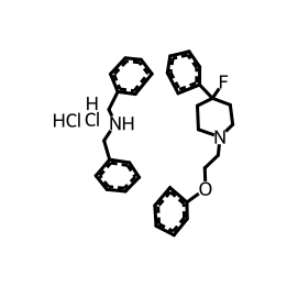 Cl.Cl.FC1(c2ccccc2)CCN(CCOc2ccccc2)CC1.c1ccc(CNCc2ccccc2)cc1